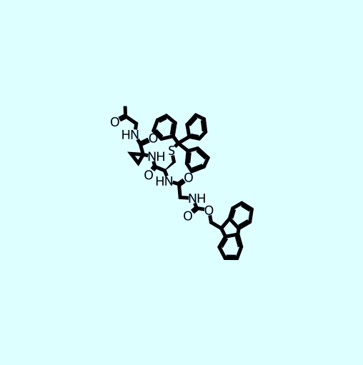 CC(=O)CNC(=O)C1(NC(=O)[C@@H](CSC(c2ccccc2)(c2ccccc2)c2ccccc2)NC(=O)CNC(=O)OCC2c3ccccc3-c3ccccc32)CC1